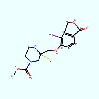 CC(C)(C)OC(=O)N1CCN[C@@](S)(COc2ccc3c(c2I)COC3=O)C1